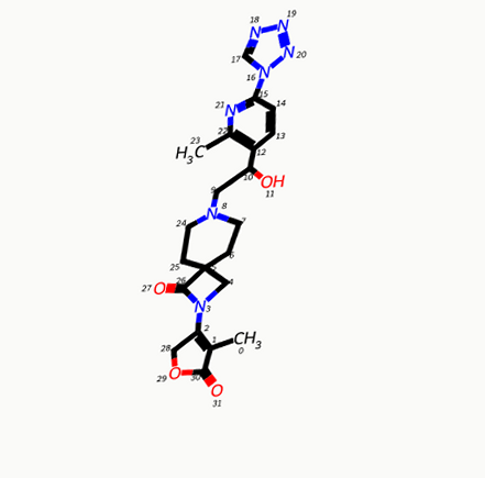 CC1=C(N2CC3(CCN(CC(O)c4ccc(-n5cnnn5)nc4C)CC3)C2=O)COC1=O